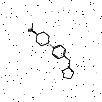 CN[C@H]1CC[C@H](c2ccc(CN3CCCC3)cc2)CC1